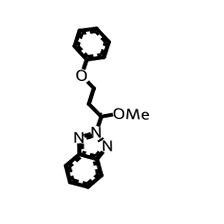 CO[C](CCOc1ccccc1)n1nc2ccccc2n1